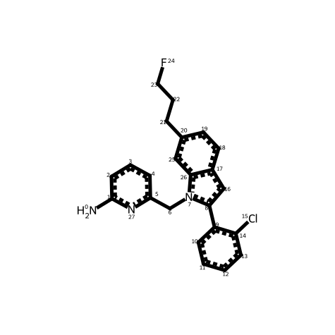 Nc1cccc(Cn2c(-c3ccccc3Cl)cc3ccc(CCCF)cc32)n1